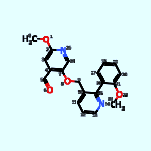 COc1cc(C=O)c(OCc2cccnc2-c2ccccc2OC)cn1